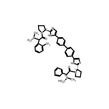 CN(C)C(C(=O)N1CCC[C@H]1c1ncc(-c2ccc(-c3ccc(-c4cnc([C@@H]5CCCN5C(=O)[C@@H](c5ccccc5)N(C)C(=O)O)[nH]4)cc3)cc2)[nH]1)c1ccccc1C(F)(F)F